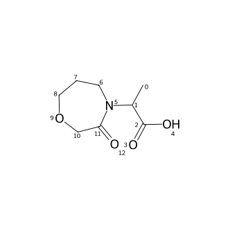 CC(C(=O)O)N1CCCOCC1=O